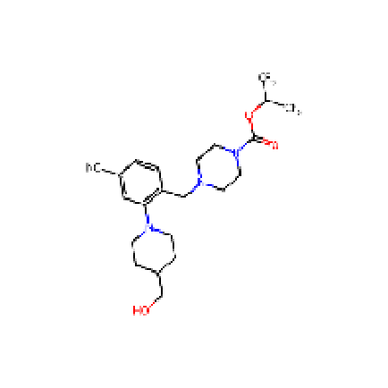 N#Cc1ccc(CN2CCN(C(=O)OC(C(F)(F)F)C(F)(F)F)CC2)c(N2CCC(CO)CC2)c1